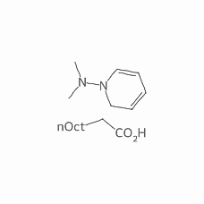 CCCCCCCCCC(=O)O.CN(C)N1C=CC=CC1